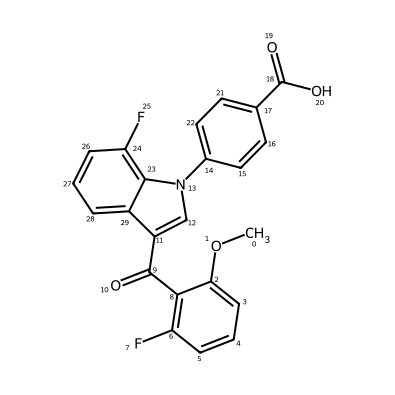 COc1cccc(F)c1C(=O)c1cn(-c2ccc(C(=O)O)cc2)c2c(F)cccc12